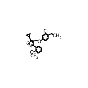 C=Cc1ccc(OCc2c(-c3ccccc3OC(F)(F)F)noc2C2CC2)cc1Cl